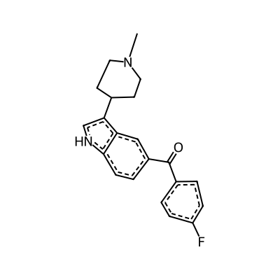 CN1CCC(c2c[nH]c3ccc(C(=O)c4ccc(F)cc4)cc23)CC1